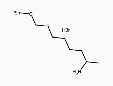 Br.CC(N)CCCCSC[O][Sn]